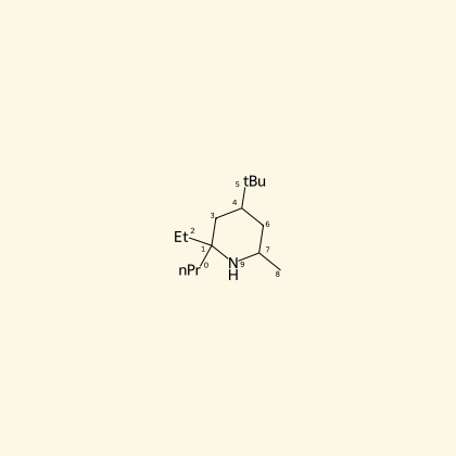 CCCC1(CC)CC(C(C)(C)C)CC(C)N1